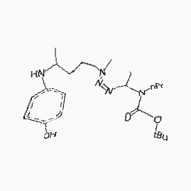 CCCN(C(=O)OC(C)(C)C)C(C)/N=N\N(C)CCC(C)Nc1ccc(O)cc1